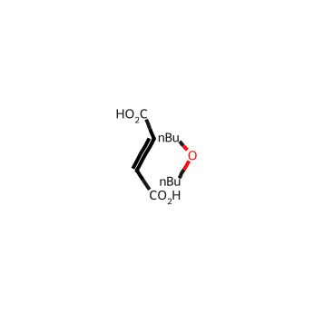 CCCCOCCCC.O=C(O)C=CC(=O)O